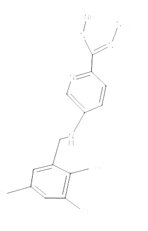 N/N=C(\NN)c1ccc(NCc2cc(Cl)cc(Cl)c2O)cn1